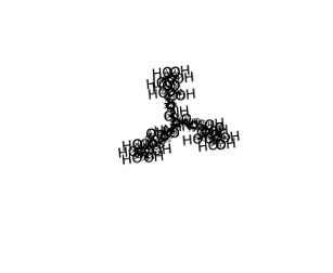 O=C(Nc1ccc(S[C@@H]2O[C@H](CO)[C@@H](O[C@H]3O[C@H](CO)[C@@H](O)[C@H](O)[C@H]3O)[C@H](O)[C@H]2O)cc1)c1cc(C(=O)Nc2ccc(S[C@@H]3O[C@H](CO)[C@@H](O[C@H]4O[C@H](CO)[C@@H](O)[C@H](O)[C@H]4O)[C@H](O)[C@H]3O)cc2)cc(C(=O)Nc2ccc(S[C@@H]3O[C@H](CO)[C@@H](O[C@H]4O[C@H](CO)[C@@H](O)[C@H](O)[C@H]4O)[C@H](O)[C@H]3O)cc2)c1